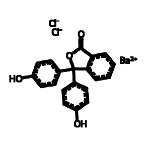 O=C1OC(c2ccc(O)cc2)(c2ccc(O)cc2)c2ccccc21.[Ba+2].[Cl-].[Cl-]